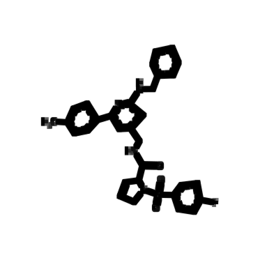 Cc1ccc(-c2cc(CNC(=O)C3C=CCN3S(=O)(=O)c3ccc(F)cc3)cc(NCc3ccccc3)n2)cc1